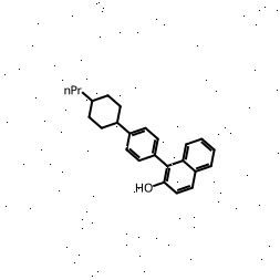 CCCC1CCC(c2ccc(-c3c(O)ccc4ccccc34)cc2)CC1